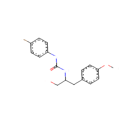 COc1ccc(CC(CO)NC(=O)Nc2ccc(Br)cc2)cc1